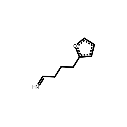 N=CCCCc1ccco1